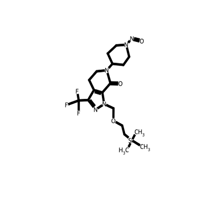 C[Si](C)(C)CCOCn1nc(C(F)(F)F)c2c1C(=O)N(C1CCN(N=O)CC1)CC2